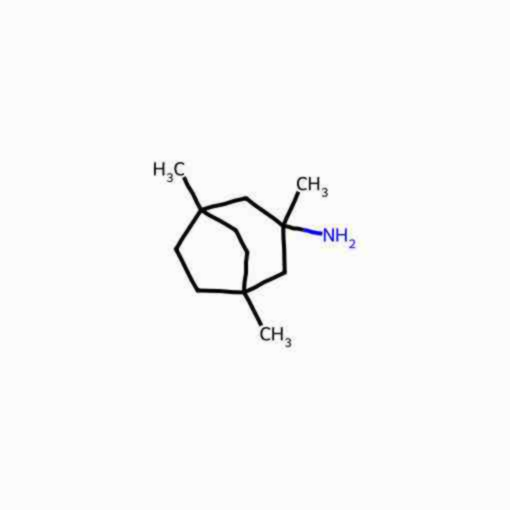 CC1(N)CC2(C)CCC(C)(CC2)C1